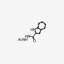 CC(=O)NNC(=O)c1cc2ccccc2[nH]1